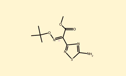 COC(=O)/C(=N\OC(C)(C)C)c1nsc(N)n1